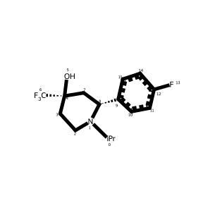 CC(C)N1CC[C@](O)(C(F)(F)F)C[C@@H]1c1ccc(F)cc1